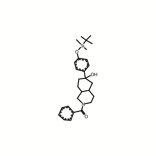 CC(C)(C)[Si](C)(C)Oc1ccc(C2(O)CCC3CN(C(=O)c4ccccc4)CCC3C2)cc1